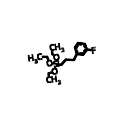 CCO[Si](CCCc1cccc(F)c1)(OCC)OCC